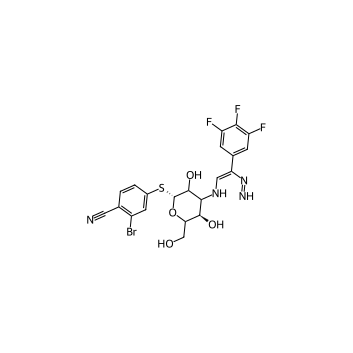 N#Cc1ccc(S[C@H]2OC(CO)[C@H](O)C(N/C=C(\N=N)c3cc(F)c(F)c(F)c3)C2O)cc1Br